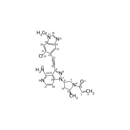 C=CC(=O)N1CC(n2nc(C#Cc3cc4ncn(C)c4cc3Cl)c3c(N)nccc32)C[C@@H]1C